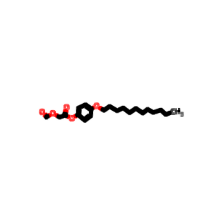 CCCCCCCCCCCCOc1ccc(OC(=O)CO[C]=O)cc1